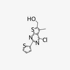 Cc1c(CO)sc2nc(-c3cccs3)nc(Cl)c12